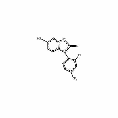 O=c1oc2cc(S)ccc2n1-c1ncc(C(F)(F)F)cc1Cl